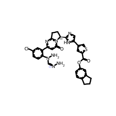 N/N=C\N(N)c1ccc(Cl)cc1-c1cc(=O)n2c(n1)CC[C@H]2c1ncc(-c2csc(C(=O)Oc3ccc4c(c3)CCC4)c2)[nH]1